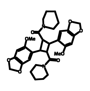 COc1cc2c(cc1C1C(C(=O)N3CCCCC3)C(c3cc4c(cc3OC)OCO4)C1C(=O)N1CCCCC1)OCO2